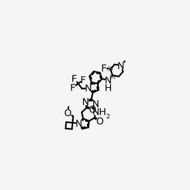 COCC1(n2ccc(C(N)=O)c2Cc2nc(-c3cc4c(N[C@@H]5CCN(C)C[C@@H]5F)cccc4n3CC(F)(F)F)no2)CCC1